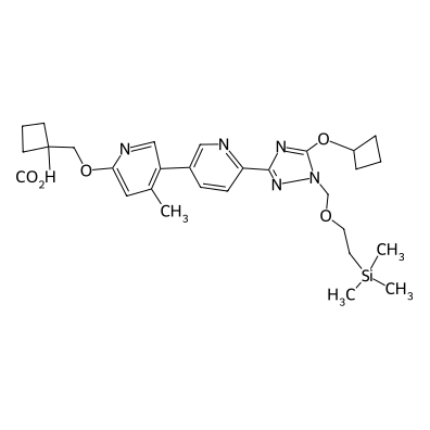 Cc1cc(OCC2(C(=O)O)CCC2)ncc1-c1ccc(-c2nc(OC3CCC3)n(COCC[Si](C)(C)C)n2)nc1